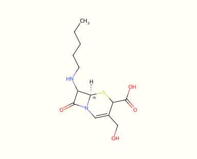 CCCCCNC1C(=O)N2C=C(CO)C(C(=O)O)S[C@H]12